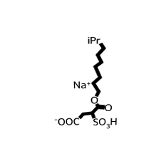 CC(C)CCCCCCCOC(=O)C(CC(=O)[O-])S(=O)(=O)O.[Na+]